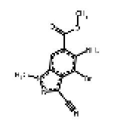 COC(=O)c1cc2c(c(C#N)nn2C)c(Br)c1N